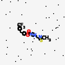 Cc1nc(CCN2CCN(C(=O)Oc3ccc(Cc4ccc(C(F)(F)F)cc4)cc3)CC2)cs1